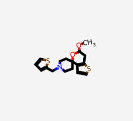 COC1Cc2sccc2C2(CCN(Cc3cccs3)CC2)O1